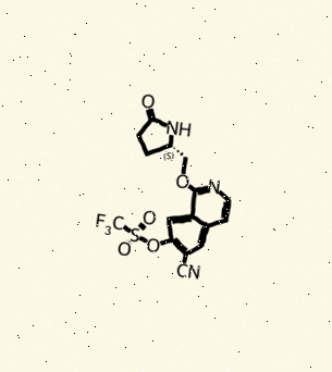 N#Cc1cc2ccnc(OC[C@@H]3CCC(=O)N3)c2cc1OS(=O)(=O)C(F)(F)F